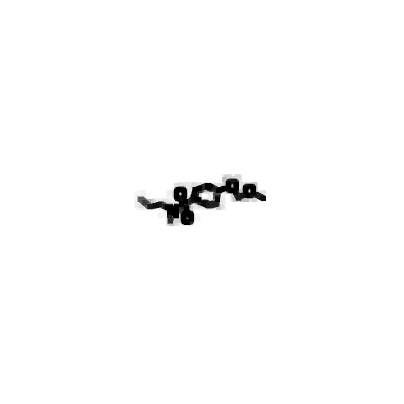 CCCN(C)S(=O)(=O)c1ccc(OCOC)cc1